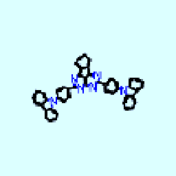 c1ccc2c(c1)-c1nc(-c3ccc(-n4c5ccccc5c5ccccc54)cc3)nc3nc(-c4ccc(-n5c6ccccc6c6ccccc65)cc4)nc-2c13